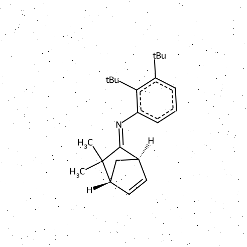 CC(C)(C)c1cccc(N=C2[C@H]3C=C[C@@H](C3)C2(C)C)c1C(C)(C)C